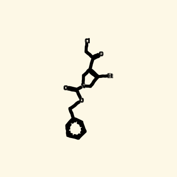 CCC1=C(C(=O)CCl)CN(C(=O)OCc2ccccc2)C1